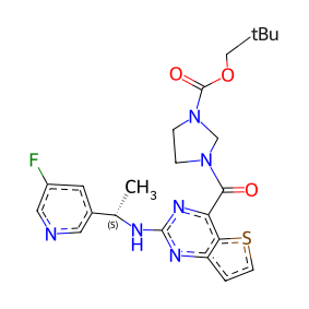 C[C@H](Nc1nc(C(=O)N2CCN(C(=O)OCC(C)(C)C)C2)c2sccc2n1)c1cncc(F)c1